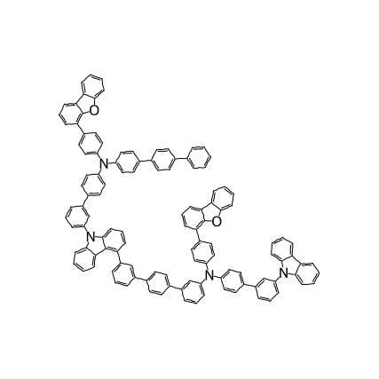 c1ccc(-c2ccc(-c3ccc(N(c4ccc(-c5cccc(-n6c7ccccc7c7c(-c8cccc(-c9ccc(-c%10cccc(N(c%11ccc(-c%12cccc(-n%13c%14ccccc%14c%14ccccc%14%13)c%12)cc%11)c%11ccc(-c%12cccc%13c%12oc%12ccccc%12%13)cc%11)c%10)cc9)c8)cccc76)c5)cc4)c4ccc(-c5cccc6c5oc5ccccc56)cc4)cc3)cc2)cc1